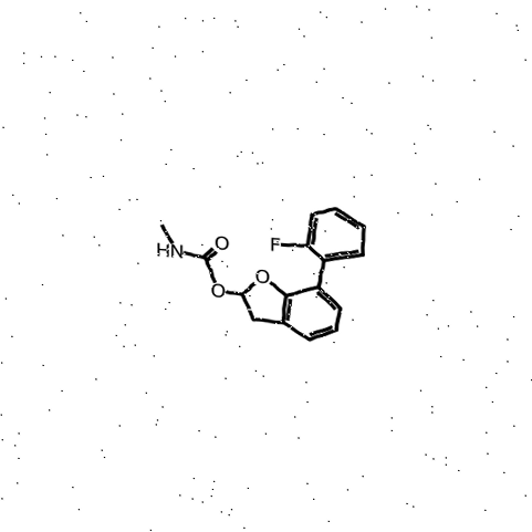 CNC(=O)OC1Cc2cccc(-c3ccccc3F)c2O1